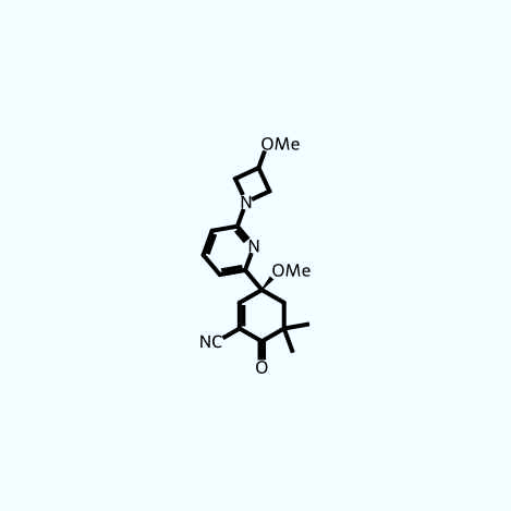 COC1CN(c2cccc([C@@]3(OC)C=C(C#N)C(=O)C(C)(C)C3)n2)C1